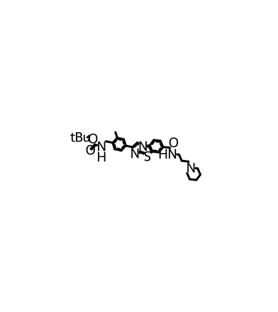 Cc1cc(-c2cn3c(n2)sc2cc(C(=O)NCCCN4CCCCC4)ccc23)ccc1CNC(=O)OC(C)(C)C